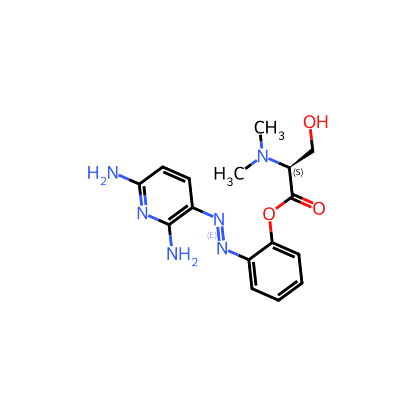 CN(C)[C@@H](CO)C(=O)Oc1ccccc1/N=N/c1ccc(N)nc1N